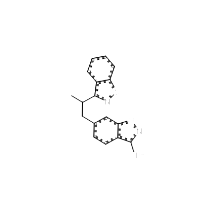 CC(C)c1noc2cc(CC(C)c3nsc4ccccc34)ccc12